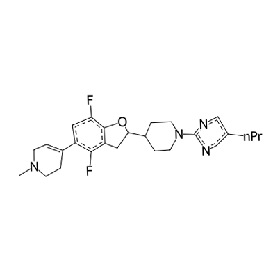 CCCc1cnc(N2CCC(C3Cc4c(F)c(C5=CCN(C)CC5)cc(F)c4O3)CC2)nc1